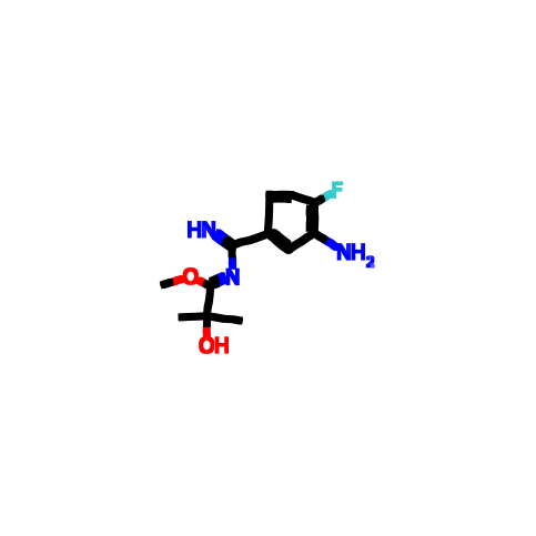 CO/C(=N\C(=N)c1ccc(F)c(N)c1)C(C)(C)O